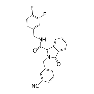 N#Cc1cccc(CN2C(=O)c3ccccc3C2C(=O)NCc2ccc(F)c(F)c2)c1